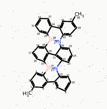 Cc1ccc2c(c1)-c1ccccc1N1B2c2cccc3c2-c2c1cccc2N1B3c2ccccc2-c2cc(C)ccc21